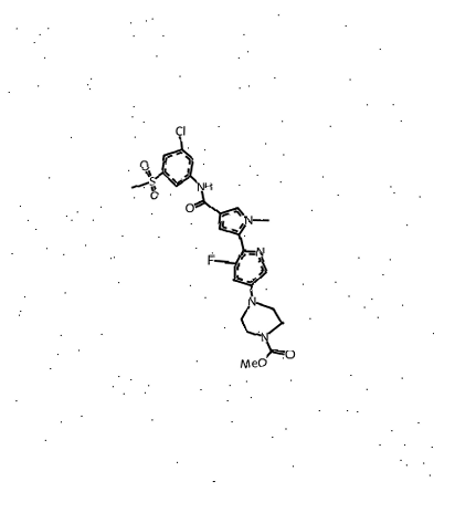 COC(=O)N1CCN(c2cnc(-c3cc(C(=O)Nc4cc(Cl)cc(S(C)(=O)=O)c4)cn3C)c(F)c2)CC1